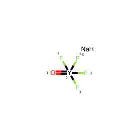 [NaH].[O]=[Y]([F])([F])([F])[F]